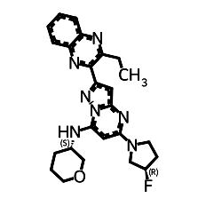 CCc1nc2ccccc2nc1-c1cc2nc(N3CC[C@@H](F)C3)cc(N[C@H]3CCCOC3)n2n1